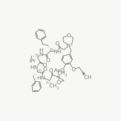 C#CCOc1cc(C[N+]2(CC(=O)N[C@@H](CCc3ccccc3)C(=O)N[C@@H](CC(C)C)C(=O)N[C@@H](Cc3ccccc3)C(=O)N[C@@H](C)C(=O)[C@@]3(C)CO3)CCOCC2)ccc1OC(C)=O